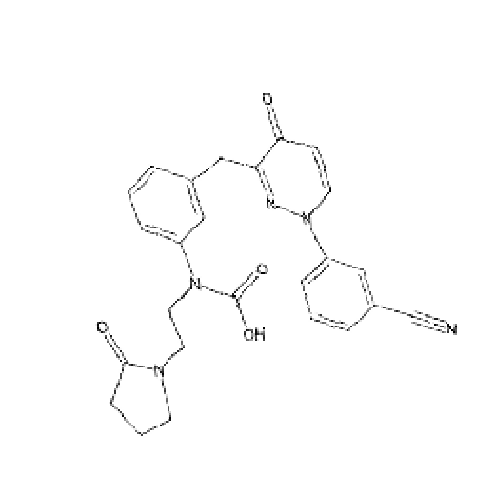 N#Cc1cccc(-n2ccc(=O)c(Cc3cccc(N(CCN4CCCC4=O)C(=O)O)c3)n2)c1